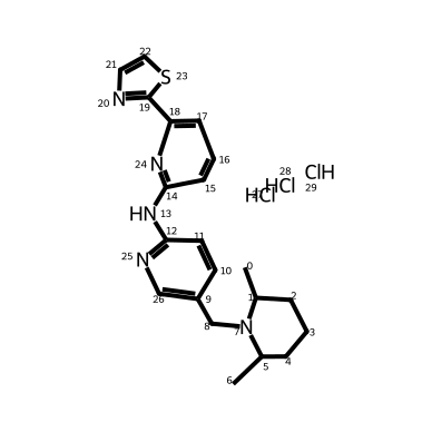 CC1CCCC(C)N1Cc1ccc(Nc2cccc(-c3nccs3)n2)nc1.Cl.Cl.Cl